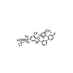 [2H]C([2H])(NCC1(O)CCC1)c1cc(C(F)(F)F)c2oc(-c3cccc(-c4ccc(F)cc4-c4nncn4C)c3)nc2c1